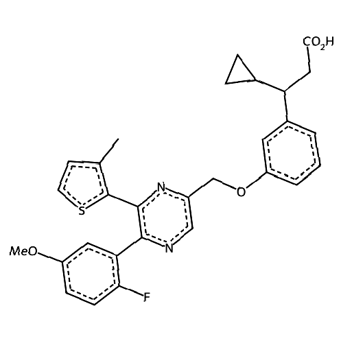 COc1ccc(F)c(-c2ncc(COc3cccc(C(CC(=O)O)C4CC4)c3)nc2-c2sccc2C)c1